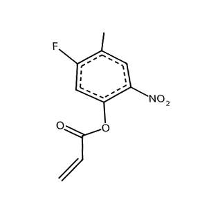 C=CC(=O)Oc1cc(F)c(C)cc1[N+](=O)[O-]